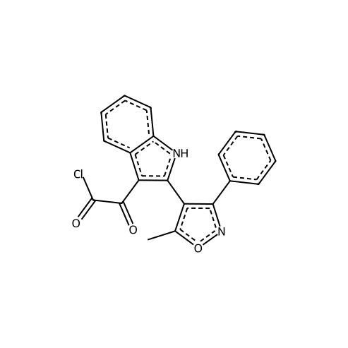 Cc1onc(-c2ccccc2)c1-c1[nH]c2ccccc2c1C(=O)C(=O)Cl